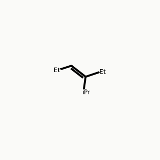 CCC=C(CC)C(C)C